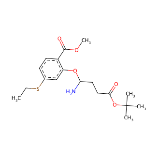 CCSc1ccc(C(=O)OC)c(OC(N)CCC(=O)OC(C)(C)C)c1